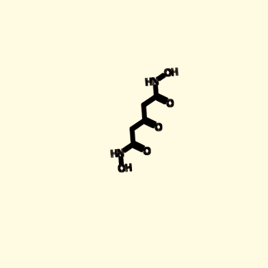 O=C(CC(=O)NO)CC(=O)NO